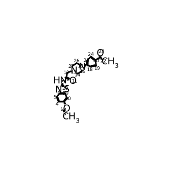 CCOc1ccc2nc(NC(=O)CN3CCN(c4ccc(C(C)=O)cc4)CC3)sc2c1